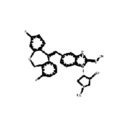 CN1CC(O)[C@@H](n2/c(=N/C#N)[nH]c3cc(/C=C4/c5ccc(F)cc5OCc5c(F)cccc54)ccc32)C1